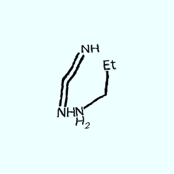 CCCN.N=C=N